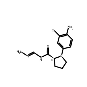 NN=CNC(=O)[C@@H]1CCCN1c1ccc([N+](=O)[O-])c(Cl)c1